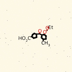 CCOCOc1ccc(C)cc1C(=O)c1ccc(C(=O)O)cc1